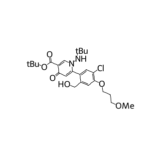 COCCCOc1cc(CO)c(-c2cc(=O)c(C(=O)OC(C)(C)C)cn2NC(C)(C)C)cc1Cl